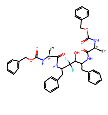 CC(C)[C@H](NC(=O)OCc1ccccc1)C(=O)NC(Cc1ccccc1)C(O)C(F)(F)C(Cc1ccccc1)NC(=O)[C@@H](NC(=O)OCc1ccccc1)C(C)C